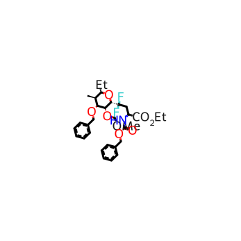 CCOC(=O)C(CC(F)(F)[C@H]1O[C@H](CC)[C@H](C)[C@H](OCc2ccccc2)[C@H]1OCOC)NC(=O)OCc1ccccc1